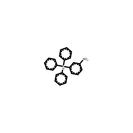 O=[N+]([O-])c1cccc([PH](c2ccccc2)(c2ccccc2)c2ccccc2)c1